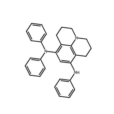 c1ccc(Nc2cc(N(c3ccccc3)c3ccccc3)c3c4c2CCCN4CCC3)cc1